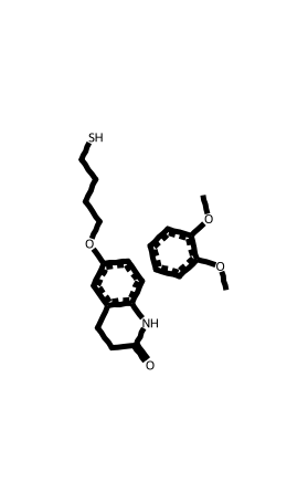 COc1ccccc1OC.O=C1CCc2cc(OCCCCS)ccc2N1